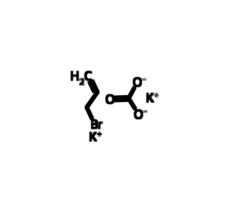 C=CCBr.O=C([O-])[O-].[K+].[K+]